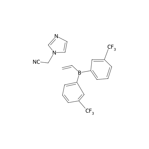 C=CB(c1cccc(C(F)(F)F)c1)c1cccc(C(F)(F)F)c1.N#CCn1ccnc1